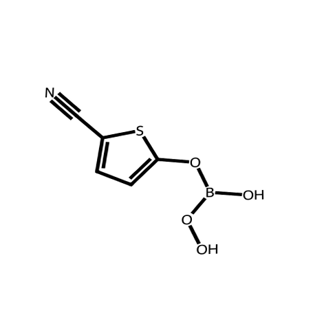 N#Cc1ccc(OB(O)OO)s1